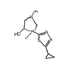 CCCN1CC(O)[N+]([O-])(c2nnc(C3CC3)s2)C1